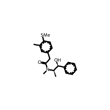 CSc1ccc(CC(=O)N(C)[C@H](C)[C@@H](O)c2ccccc2)cc1C